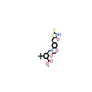 COC(=O)c1cc(CN2C(=O)COc3ccc(C=C4SC(=S)NC4=O)cc32)cc(C(C)(C)C)c1